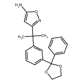 CC(C)(c1cccc(C2(c3ccccc3)OCCO2)c1)c1cc(N)on1